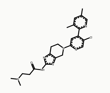 Cc1cnc(-c2cc(N3CCc4nc(NC(=O)CCN(C)C)sc4C3)ncc2Cl)c(C)c1